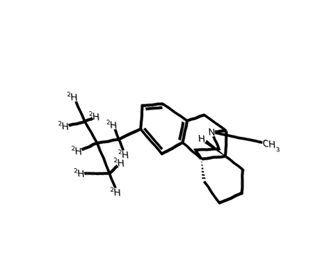 [2H]C([2H])([2H])C([2H])(C([2H])([2H])[2H])C([2H])([2H])c1ccc2c(c1)[C@]13CCCC[C@H]1C(C2)N(C)CC3